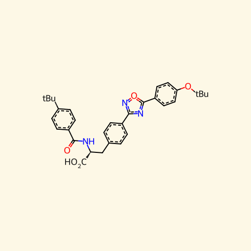 CC(C)(C)Oc1ccc(-c2nc(-c3ccc(C[C@H](NC(=O)c4ccc(C(C)(C)C)cc4)C(=O)O)cc3)no2)cc1